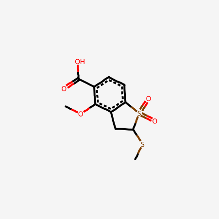 COc1c(C(=O)O)ccc2c1CC(SC)S2(=O)=O